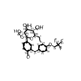 CC[C@H]1O[C@@](OC)(c2ccc(Cl)c(Cc3ccc(OCC(F)(F)F)cc3)c2)[C@H](O)[C@@H](O)[C@@H]1O